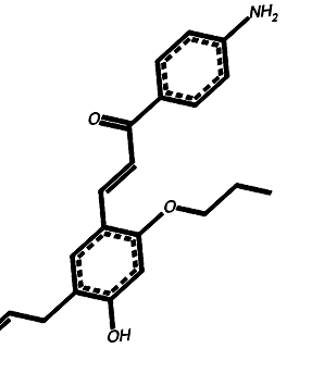 C=CCc1cc(/C=C/C(=O)c2ccc(N)cc2)c(OCCC)cc1O